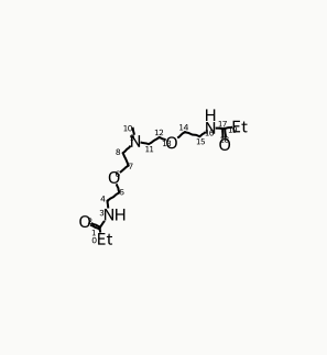 CCC(=O)NCCOCCN(C)CCOCCNC(=O)CC